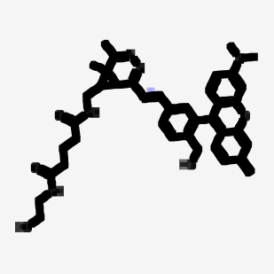 C=c1ccc2c(c1)Oc1cc(N(C)C)ccc1C=2c1cc(/C=C/C2=NN=C(C)C3(C)C(CNC(=O)CCCC(=O)NCCO)C23)ccc1CO